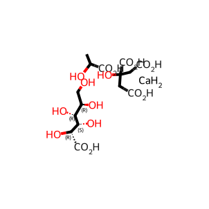 CC(O)C(=O)O.O=C(O)CC(O)(CC(=O)O)C(=O)O.O=C(O)[C@H](O)[C@@H](O)[C@H](O)[C@H](O)CO.[CaH2]